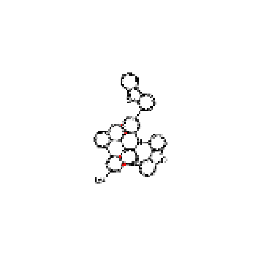 CC(C)(C)c1cc(-c2cccc3cccc(-c4ccccc4N(c4cccc(-c5cccc6c5sc5ccccc56)c4)c4cccc5oc6ccccc6c45)c23)cc(C(C)(C)C)c1